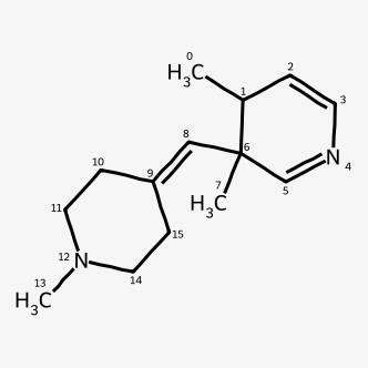 CC1C=CN=CC1(C)C=C1CCN(C)CC1